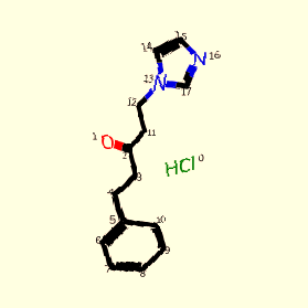 Cl.O=C(CCc1ccccc1)CCn1ccnc1